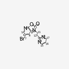 O=c1oc2ncc(Br)cc2n1CCc1ncccn1